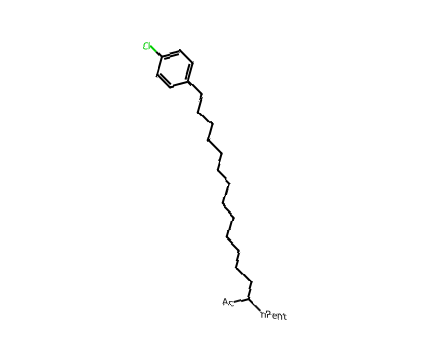 CCCCCC(CCCCCCCCCCCCCc1ccc(Cl)cc1)C(C)=O